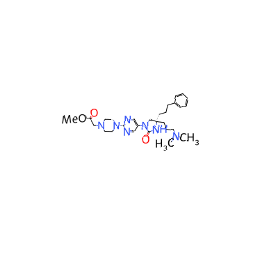 COC(=O)CN1CCN(c2ncc(N3C[C@@](CCCc4ccccc4)(CCCN(C)C)NC3=O)cn2)CC1